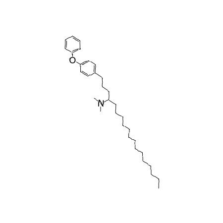 CCCCCCCCCCCCCCC(CCCc1ccc(Oc2ccccc2)cc1)N(C)C